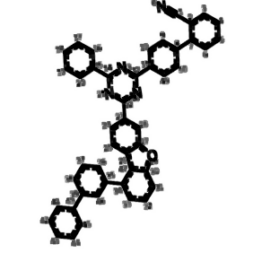 N#Cc1ccccc1-c1ccc(-c2nc(-c3ccccc3)nc(-c3ccc4c(c3)oc3cccc(-c5cccc(-c6ccccc6)c5)c34)n2)cc1